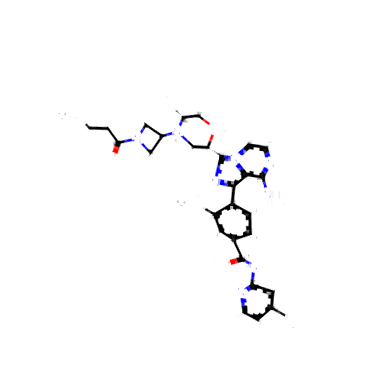 COCCC(=O)N1CC(N2C[C@H](c3nc(-c4ccc(C(=O)Nc5cc(C(F)(F)F)ccn5)cc4OC)c4c(N)nccn34)OC[C@@H]2C)C1